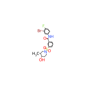 CC1CN(S(=O)(=O)c2cccc(C(=O)Nc3ccc(F)c(Br)c3)c2)CCC1O